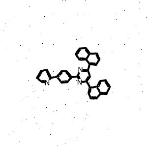 c1ccc(-c2ccc(-c3nc(-c4cccc5ccccc45)cc(-c4cccc5ccccc45)n3)cc2)nc1